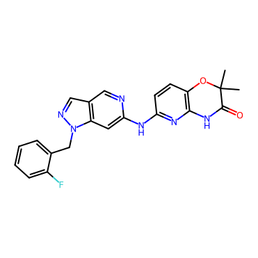 CC1(C)Oc2ccc(Nc3cc4c(cn3)cnn4Cc3ccccc3F)nc2NC1=O